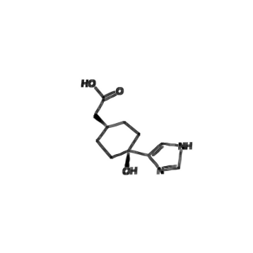 O=C(O)C[C@H]1CC[C@](O)(c2c[nH]cn2)CC1